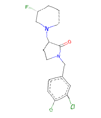 O=C1C(N2CCC[C@@H](F)C2)CCN1Cc1ccc(Cl)c(Cl)c1